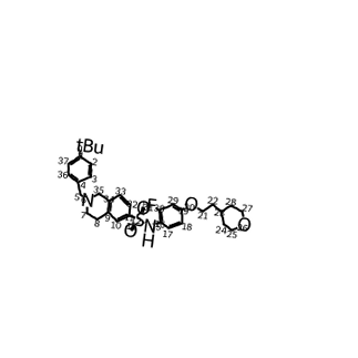 CC(C)(C)c1ccc(CN2CCc3cc(S(=O)(=O)Nc4ccc(OCCC5CCOCC5)cc4F)ccc3C2)cc1